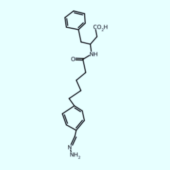 NN=Cc1ccc(CCCCC(=O)NC(CC(=O)O)Cc2ccccc2)cc1